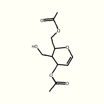 CC(=O)OCC1OC=CC(OC(C)=O)C1CO